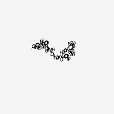 COc1cc(C(=O)NC2CCN(CCOCCNC(=O)CNc3cccc4c3C(=O)N(C3CCC(=O)NC3=O)C4=O)C2)c(F)cc1Nc1ncc2c(n1)N(C1CCCC1)CC(F)(F)C(=O)N2C